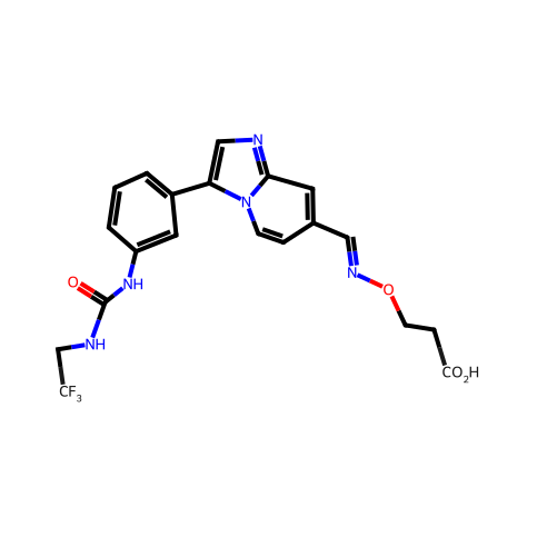 O=C(O)CCO/N=C/c1ccn2c(-c3cccc(NC(=O)NCC(F)(F)F)c3)cnc2c1